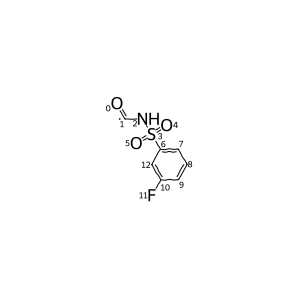 O=[C]NS(=O)(=O)c1cccc(F)c1